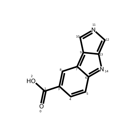 O=C(O)c1ccc2c(c1)=C1C=NC=C1N=2